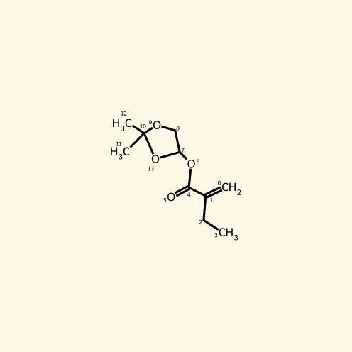 C=C(CC)C(=O)OC1COC(C)(C)O1